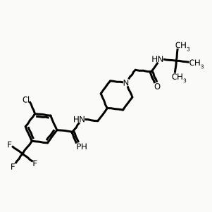 CC(C)(C)NC(=O)CN1CCC(CNC(=P)c2cc(Cl)cc(C(F)(F)F)c2)CC1